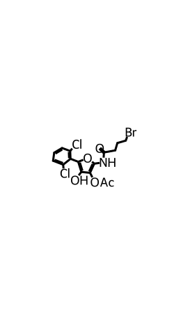 CC(=O)Oc1c(NC(=O)CCCBr)oc(-c2c(Cl)cccc2Cl)c1O